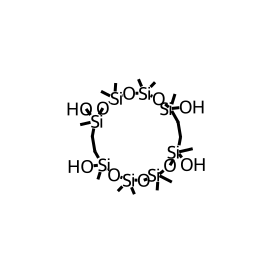 C[Si]1(O)CC[Si](C)(O)O[Si](C)(C)O[Si](C)(C)O[Si](C)(O)CC[Si](C)(O)O[Si](C)(C)O[Si](C)(C)O1